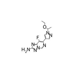 CCOC(C)n1cc(-c2ncn3nc(N)nc3c2F)cn1